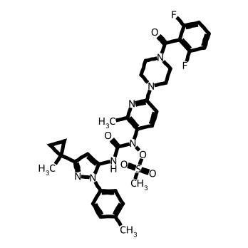 Cc1ccc(-n2nc(C3(C)CC3)cc2NC(=O)N(OS(C)(=O)=O)c2ccc(N3CCN(C(=O)c4c(F)cccc4F)CC3)nc2C)cc1